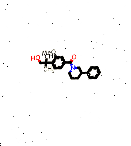 COc1cc(C(=O)N2CCCC(c3ccccc3)C2)ccc1C(C)(C)CO